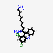 NCCCCCCCCC(N)c1c2c(nc3cc(Cl)cc(Cl)c13)CCCC2